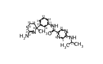 CC(C)Nc1cnc(C(=O)Nc2cccc(C3(C)CCSC(N)=N3)c2)cn1